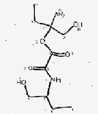 CCC(CO)NC(=O)C(=O)OC(N)(CC)CO